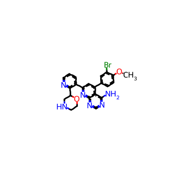 COc1ccc(-c2cc(-c3cccnc3C3CNCCO3)nc3ncnc(N)c23)cc1Br